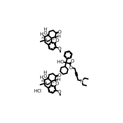 CCN(CC)CC#CCOC(=O)C(O)(c1ccccc1)C1CCCCC1.COc1ccc2c3c1O[C@H]1C(=O)CC[C@@]4(O)[C@@H](C2)N(C)CC[C@]314.COc1ccc2c3c1O[C@H]1C(=O)CC[C@@]4(O)[C@@H](C2)N(C)CC[C@]314.Cl